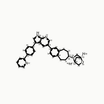 c1ccc(-c2ccc(-c3c[nH]c4ncc(-c5ccc6c(c5)CC[C@@H](N5C[C@@H]7C[C@H]5CO7)CC6)cc34)cc2)nc1